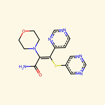 NC(=O)/C(=C(\Sc1cncnc1)c1ccncn1)N1CCOCC1